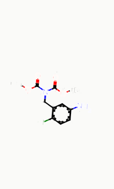 CC(C)(C)OC(=O)N(Cc1cc(N)ccc1Cl)C(=O)OC(C)(C)C